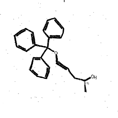 C[C@H](O)CC=COC(c1ccccc1)(c1ccccc1)c1ccccc1